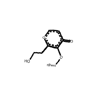 CCCCCOc1c(CCO)occc1=O